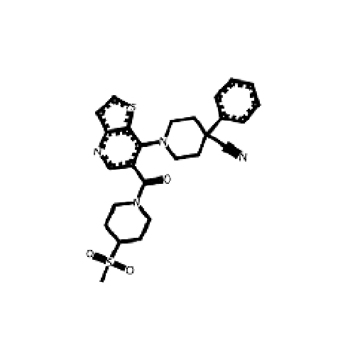 CS(=O)(=O)C1CCN(C(=O)c2cnc3ccsc3c2N2CCC(C#N)(c3ccccc3)CC2)CC1